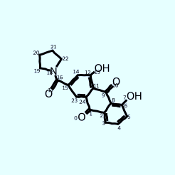 O=C1c2cccc(O)c2C(=O)c2c(O)cc(C(=O)N3CCCC3)cc21